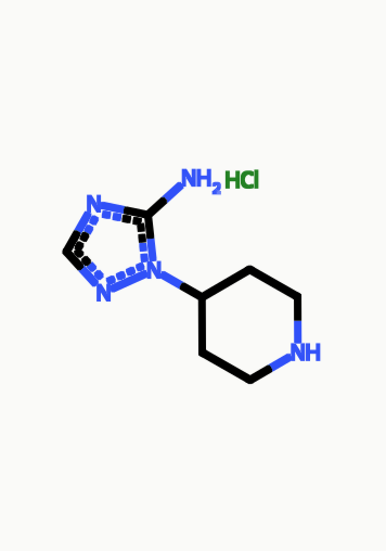 Cl.Nc1ncnn1C1CCNCC1